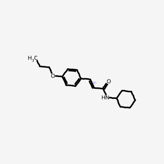 CCCOc1ccc(/C=C/C(=O)NC2CCCCC2)cc1